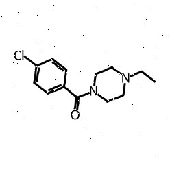 CCN1CCN(C(=O)c2ccc(Cl)cc2)CC1